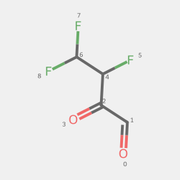 O=CC(=O)C(F)C(F)F